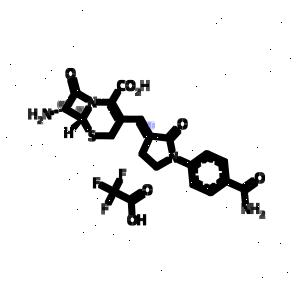 NC(=O)c1ccc(N2CC/C(=C\C3=C(C(=O)O)N4C(=O)[C@@H](N)[C@H]4SC3)C2=O)cc1.O=C(O)C(F)(F)F